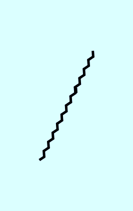 CCCCCCCCC=CCCCCCCCCCCCCCCC